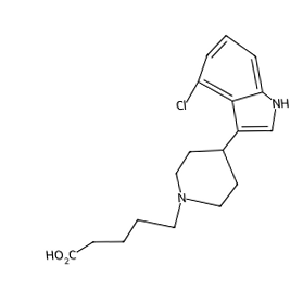 O=C(O)CCCCN1CCC(c2c[nH]c3cccc(Cl)c23)CC1